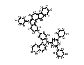 C1=Cc2c(ccc3c2c2cc(-c4ccc5c(c4)c4c6sc7ccccc7c6ccc4n5-c4ccccc4)ccc2n3-c2nc(-c3ccccc3)nc(-c3ccccc3)n2)CC1